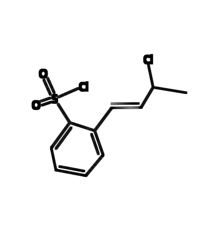 CC(Cl)C=Cc1ccccc1S(=O)(=O)Cl